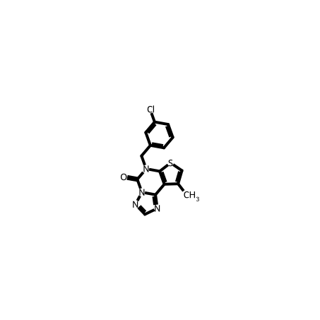 Cc1csc2c1c1ncnn1c(=O)n2Cc1cccc(Cl)c1